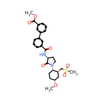 COC(=O)c1c[c]cc(-c2cccc(C(=O)N[C@H]3CCN([C@H]4CC[C@@H](OC)C[C@@H]4CS(C)(=O)=O)C3=O)c2)c1